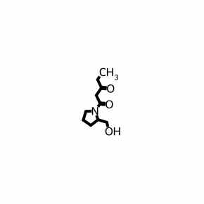 CCC(=O)CC(=O)N1CCCC1CO